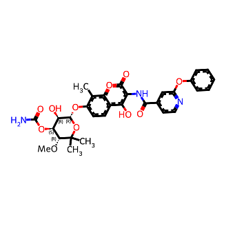 CO[C@@H]1[C@@H](OC(N)=O)[C@@H](O)[C@H](Oc2ccc3c(O)c(NC(=O)c4ccnc(Oc5ccccc5)c4)c(=O)oc3c2C)OC1(C)C